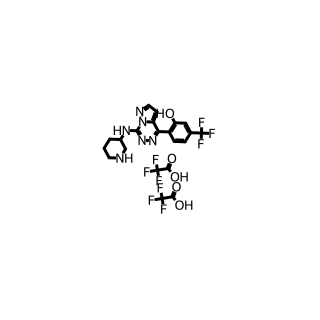 O=C(O)C(F)(F)F.O=C(O)C(F)(F)F.Oc1cc(C(F)(F)F)ccc1-c1nnc(NC2CCCNC2)n2nccc12